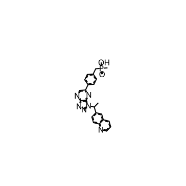 CC(c1ccc2ncccc2c1)n1nnc2ncc(-c3ccc(CP(C)(=O)O)cc3)nc21